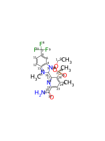 CCON1c2cc(C(F)(F)F)ccc2N(C)C1c1nc(C(N)=O)cc(C)c1S(C)(=O)=O